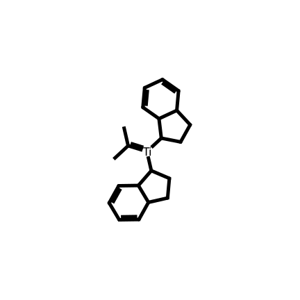 C[C](C)=[Ti]([CH]1CCC2C=CC=CC21)[CH]1CCC2C=CC=CC21